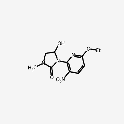 CCOc1ccc([N+](=O)[O-])c(N2C(=O)N(C)CC2O)n1